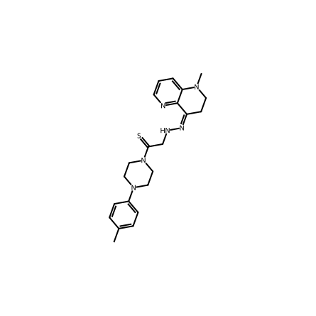 Cc1ccc(N2CCN(C(=S)CN/N=C3/CCN(C)c4cccnc43)CC2)cc1